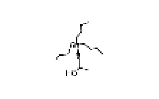 CCC[CH2][Sn]([C]#CC(C)O)([CH2]CCC)[CH2]CCC